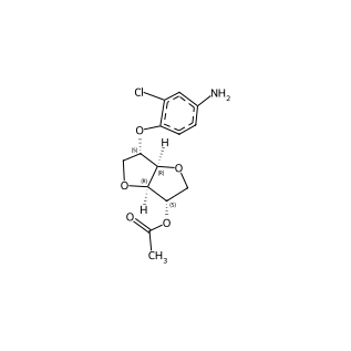 CC(=O)O[C@H]1CO[C@H]2[C@@H]1OC[C@@H]2Oc1ccc(N)cc1Cl